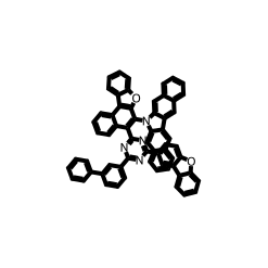 c1ccc(-c2cccc(-c3nc(-c4ccc5oc6ccccc6c5c4)nc(-c4c(-n5c6cc7ccccc7cc6c6cc7ccccc7cc65)c5oc6ccccc6c5c5ccccc45)n3)c2)cc1